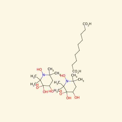 CC1(C)CC(O)C(O)(O)C(C)(C)N1O.CC1(C)CC(O)C(O)(O)C(C)(C)N1O.O=C(O)CCCCCCCCC(=O)O